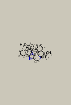 Cc1cccc2c1c1ccccc1c1nc3c(n21)B(c1c(C(C)C)cccc1C(C)C)N(C)C=C3